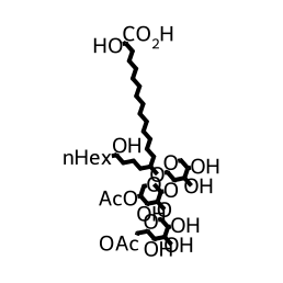 CCCCCCC(O)CCCC(CCCCCCCCCCCCCC(O)C(=O)O)OC1OCC(O)C(O)C1OC1OCC(OC(C)=O)C(O)C1OC1OC(COC(C)=O)C(O)C(O)C1O